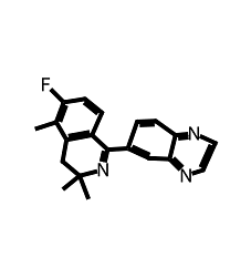 Cc1c(F)ccc2c1CC(C)(C)N=C2c1ccc2nccnc2c1